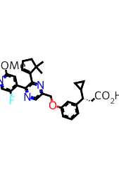 COc1cc(-c2ncc(COc3cccc([C@@H](CC(=O)O)C4CC4)c3)nc2C2=CCCC2(C)C)c(F)cn1